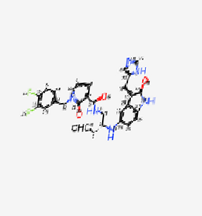 O=CC[C@H](CNC(=O)c1cccn(Cc2ccc(F)c(F)c2)c1=O)Nc1ccc2c(c1)/C(=C/c1cnc[nH]1)C(=O)N2